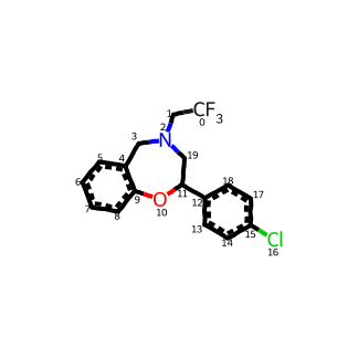 FC(F)(F)CN1Cc2ccccc2OC(c2ccc(Cl)cc2)C1